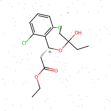 CCOC(=O)C[C@@H](OC(O)(CC)CC)c1c(Cl)cccc1Cl